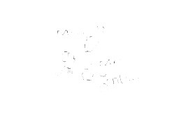 CCCCCCCCCCC(=O)Oc1ccc(C[C@H]2C(=O)OC[C@@H]2Cc2ccc(OC)c(OC)c2)cc1OC